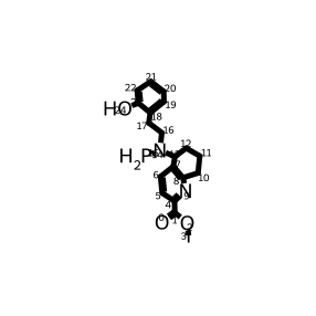 O=C(OI)c1ccc2c(n1)CCCC2N(P)CCc1ccccc1O